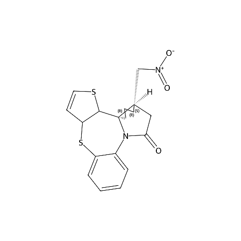 O=C1C[C@H]2[C@H](C[N+](=O)[O-])CC[C@]23C2SC=CC2Sc2ccccc2N13